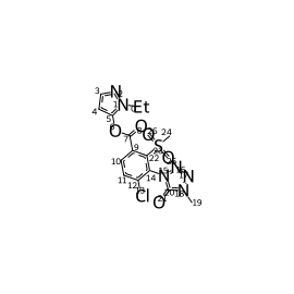 CCn1nccc1OC(=O)c1ccc(Cl)c(-n2nnn(C)c2=O)c1S(C)(=O)=O